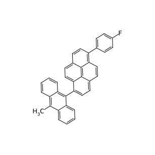 Cc1c2ccccc2c(-c2ccc3ccc4c(-c5ccc(F)cc5)ccc5ccc2c3c54)c2ccccc12